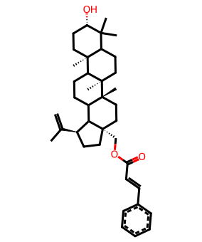 C=C(C)[C@@H]1CC[C@]2(COC(=O)/C=C/c3ccccc3)CC[C@]3(C)C(CCC4[C@@]5(C)CC[C@H](O)C(C)(C)C5CC[C@]43C)C12